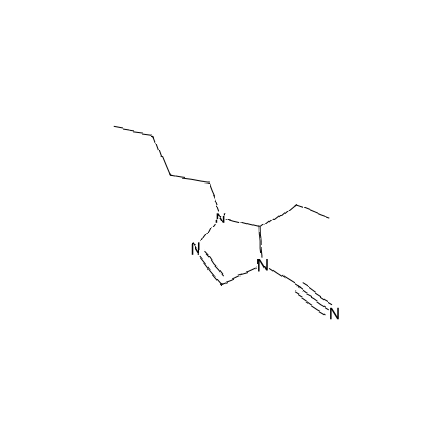 CCCCN1N=CN(C#N)C1CC